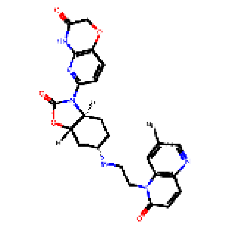 N#Cc1cnc2ccc(=O)n(CCN[C@H]3CC[C@H]4[C@H](C3)OC(=O)N4c3ccc4c(n3)NC(=O)CO4)c2c1